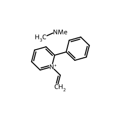 C=C[n+]1ccccc1-c1ccccc1.CNC